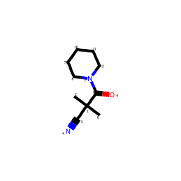 CC(C)(C#N)C(=O)N1CCCCC1